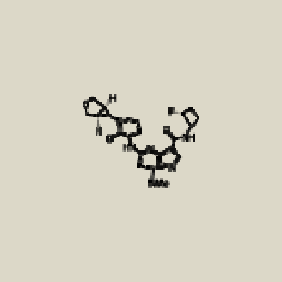 CNc1cc(Nc2cccn(C3[C@H]4COC[C@@H]34)c2=O)nc2c(C(=O)NC3CC[C@H]3F)cnn12